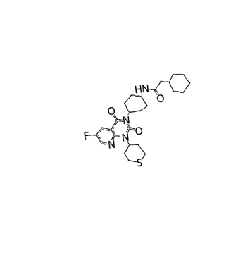 O=C(CC1CCCCC1)N[C@H]1CC[C@@H](n2c(=O)c3cc(F)cnc3n(C3CCSCC3)c2=O)CC1